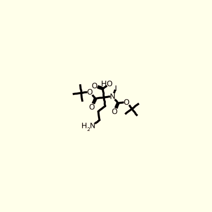 CC(C)(C)OC(=O)N(I)C(CCCN)(C(=O)O)C(=O)OC(C)(C)C